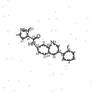 Cc1ccccc1-c1cnc2cc(NC(=O)c3ccnn3C)ccc2c1